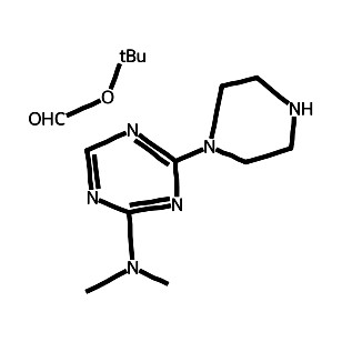 CC(C)(C)OC=O.CN(C)c1ncnc(N2CCNCC2)n1